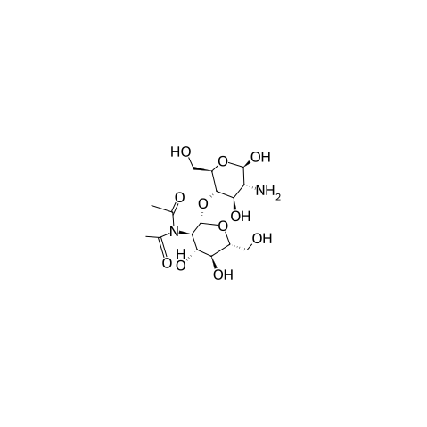 CC(=O)N(C(C)=O)[C@H]1[C@H](O[C@H]2[C@H](O)[C@@H](N)[C@H](O)O[C@@H]2CO)O[C@H](CO)[C@@H](O)[C@@H]1O